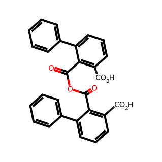 O=C(O)c1cccc(-c2ccccc2)c1C(=O)OC(=O)c1c(C(=O)O)cccc1-c1ccccc1